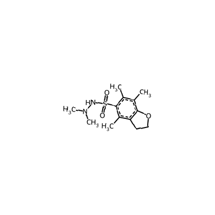 Cc1c(C)c(S(=O)(=O)NN(C)C)c(C)c2c1OCC2